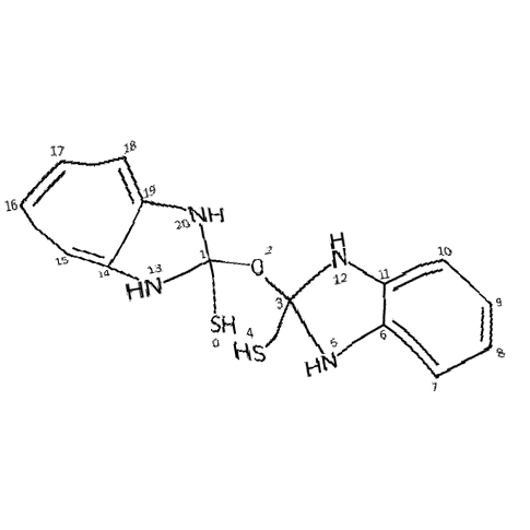 SC1(OC2(S)Nc3ccccc3N2)Nc2ccccc2N1